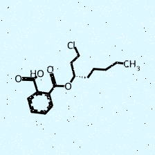 CCCCC[C@@H](CCCl)OC(=O)c1ccccc1C(=O)O